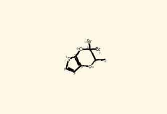 CC1Oc2ccsc2OC1(Br)Br